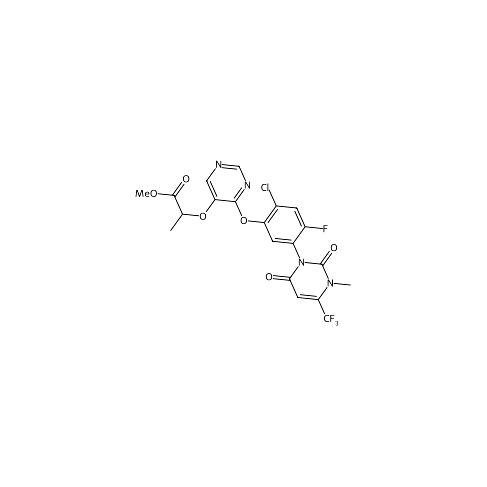 COC(=O)C(C)Oc1cncnc1Oc1cc(-n2c(=O)cc(C(F)(F)F)n(C)c2=O)c(F)cc1Cl